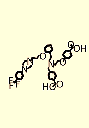 O=C(O)c1ccc(CN(CCOc2ccc(C(=O)O)cc2)CCc2ccccc2OCCCN2CCN(c3ccc(C(F)(F)F)cc3)CC2)cc1